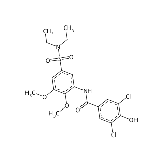 CCN(CC)S(=O)(=O)c1cc(NC(=O)c2cc(Cl)c(O)c(Cl)c2)c(OC)c(OC)c1